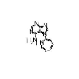 Nc1ncnc2ncn(C3=CC=CC=CN3)c12